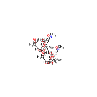 CO[C@@H](/C(C)=C/C=C/C(C)=C/c1coc(C)n1)[C@@H](C)[C@@H]1C[C@H](O)[C@@]2(C)O[C@@H]2/C=C/[C@@H](C)[C@H]2C[C@H](CC(=O)O2)C[C@@H]2O[C@H]2C(=O)O1.CO[C@@H](/C(C)=C/C=C/C(C)=C/c1coc(C)n1)[C@@H](C)[C@@H]1C[C@H](O)[C@@]2(C)O[C@@H]2/C=C/[C@@H](C)[C@H]2C[C@H](CC(=O)O2)C[C@@H]2O[C@H]2C(=O)O1